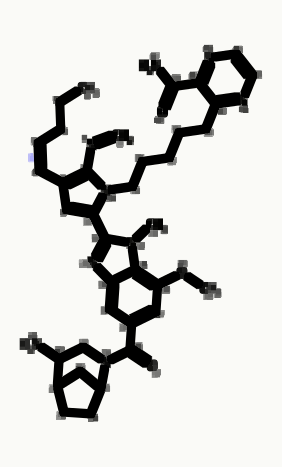 C=Nc1c(/C=C\CCC)cc(-c2nc3cc(C(=O)N4CC(N)C5CCC4C5)cc(OC)c3n2C)n1CCCCCc1nccnc1C(N)=O